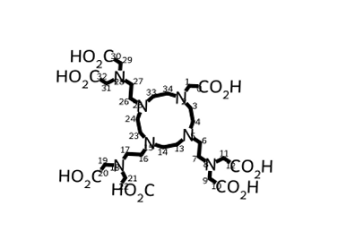 O=C(O)CN1CCN(CCN(CC(=O)O)CC(=O)O)CCN(CCN(CC(=O)O)CC(=O)O)CCN(CCN(CC(=O)O)CC(=O)O)CC1